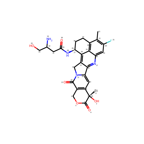 CC[C@@]1(O)C(=O)OCc2c1cc1n(c2=O)Cc2c-1nc1cc(F)c(C)c3c1c2[C@@H](NC(=O)CC(N)CO)CC3